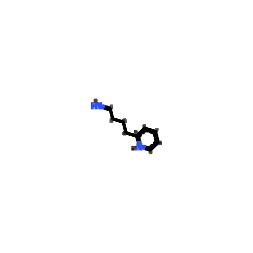 N=CC[CH]Cc1ccccn1